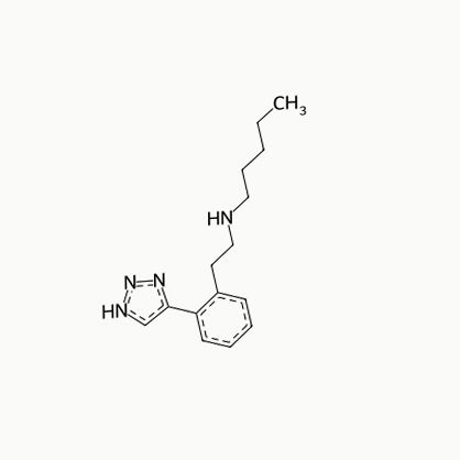 CCCCCNCCc1ccccc1-c1c[nH]nn1